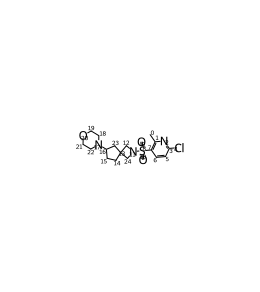 Cc1nc(Cl)ccc1S(=O)(=O)N1CC2(CCC(N3CCOCC3)C2)C1